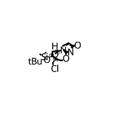 CC(C)(C)[Si](C)(C)O[C@H]1C[C@H]2O[C@]1(CCl)COc1nc(=O)ccn12